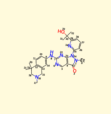 CCn1c(=O)c2cnc(Nc3ccc4c(c3)CN(C)CC4(C)C)nc2n1-c1cccc(C(C)(C)O)n1